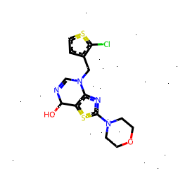 OC1N=CN(Cc2ccsc2Cl)c2nc(N3CCOCC3)sc21